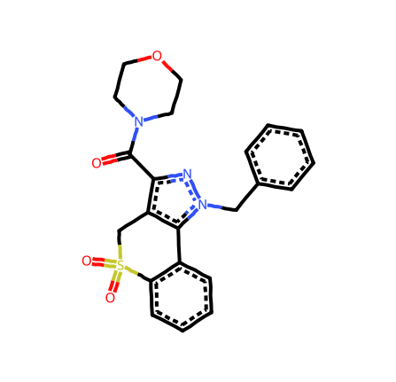 O=C(c1nn(Cc2ccccc2)c2c1CS(=O)(=O)c1ccccc1-2)N1CCOCC1